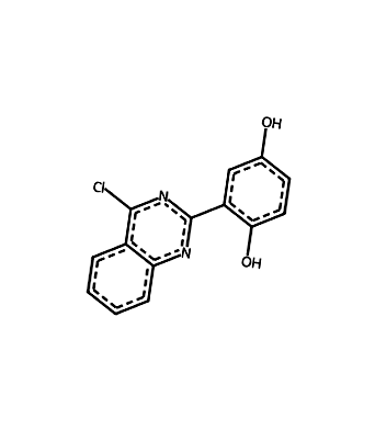 Oc1ccc(O)c(-c2nc(Cl)c3ccccc3n2)c1